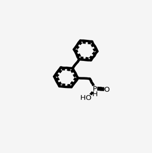 O=[PH](O)Cc1ccccc1-c1ccccc1